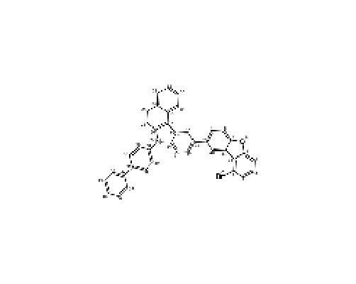 Brc1cccc2oc3ccc(-c4ccc5c(c4)c4c6ccccc6ccc4n5-c4ccc(-c5ccccc5)cc4)cc3c12